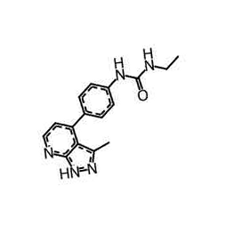 CCNC(=O)Nc1ccc(-c2ccnc3[nH]nc(C)c23)cc1